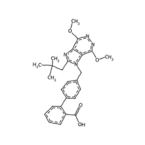 COc1nnc(OC)c2c1nc(CC(C)(C)C)n2Cc1ccc(-c2ccccc2C(=O)O)cc1